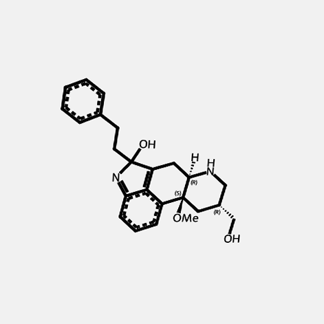 CO[C@]12C[C@@H](CO)CN[C@@H]1CC1=c3c2cccc3=NC1(O)CCc1ccccc1